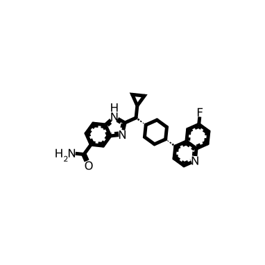 NC(=O)c1ccc2[nH]c(C(C3CC3)[C@H]3CC[C@@H](c4ccnc5ccc(F)cc54)CC3)nc2c1